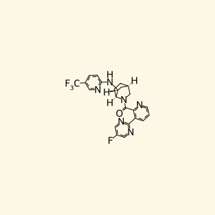 O=C(c1ncccc1-c1ncc(F)cn1)N1C[C@@H]2CC[C@H]1[C@H](Nc1ccc(C(F)(F)F)cn1)C2